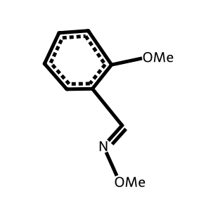 CON=Cc1ccccc1OC